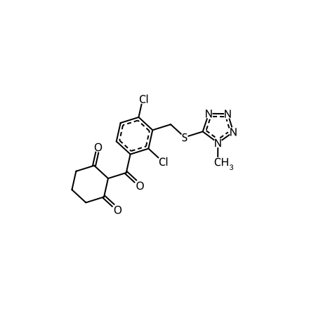 Cn1nnnc1SCc1c(Cl)ccc(C(=O)C2C(=O)CCCC2=O)c1Cl